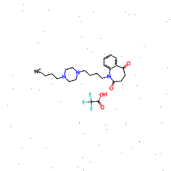 N#CCCCN1CCN(CCCCN2C(=O)CCC(=O)c3ccccc32)CC1.O=C(O)C(F)(F)F